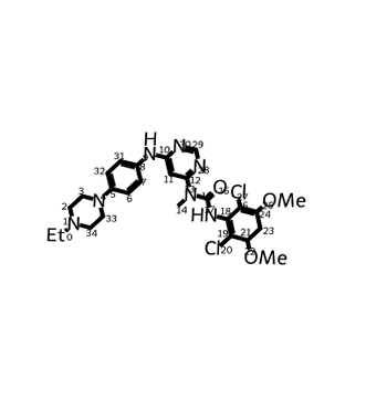 CCN1CCN(c2ccc(Nc3cc(N(C)C(=O)NC4=C(Cl)C(OC)CC(OC)=C4Cl)ncn3)cc2)CC1